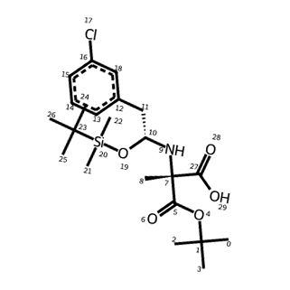 CC(C)(C)OC(=O)[C@](C)(N[C@@H](Cc1cccc(Cl)c1)O[Si](C)(C)C(C)(C)C)C(=O)O